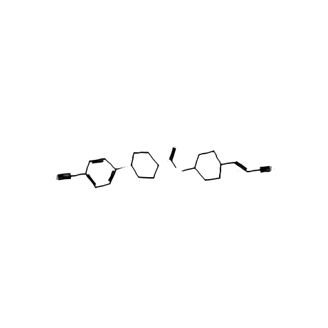 N#C/C=C/C1CCC(OC(=O)[C@H]2CC[C@H](c3ccc(C#N)cc3)CC2)CC1